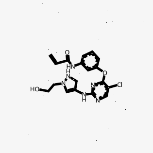 C=CC(=O)Nc1cccc(Oc2nc(NC3=CN(CCO)NC3)ncc2Cl)c1